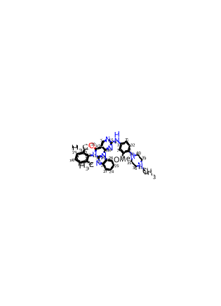 COc1cc(Nc2ncc3c(=O)n(-c4c(C)cccc4C)c4nc5ccccc5n4c3n2)ccc1N1CCN(C)CC1